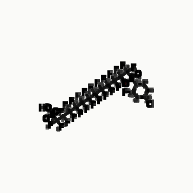 O=S(=O)(O)C(F)(F)C(F)(F)C(F)(F)C(F)(F)C(F)(F)C(F)(F)C(F)(F)C(F)(F)C(F)(F)C(F)(F)C(F)(F)C(F)(F)S(=O)(=O)c1ccc(Cl)cc1F